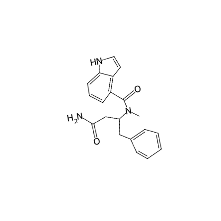 CN(C(=O)c1cccc2[nH]ccc12)C(CC(N)=O)Cc1ccccc1